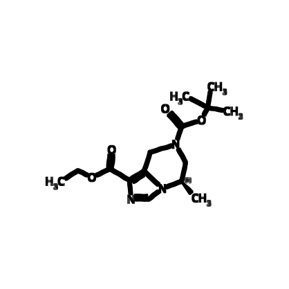 CCOC(=O)c1ncn2c1CN(C(=O)OC(C)(C)C)C[C@H]2C